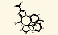 CC1c2nc(C(N)=O)nn2-c2ccc(Br)cc2C2(c3ccccn3)OCCN12